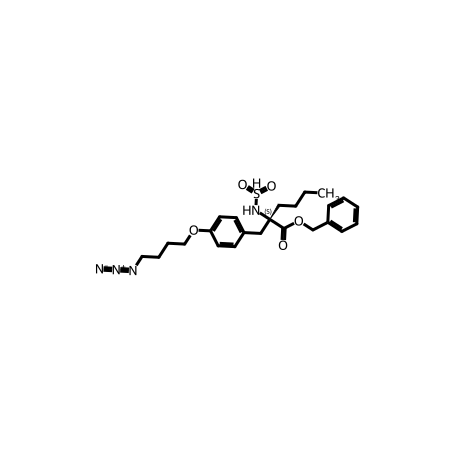 CCCC[C@@](Cc1ccc(OCCCCN=[N+]=[N-])cc1)(N[SH](=O)=O)C(=O)OCc1ccccc1